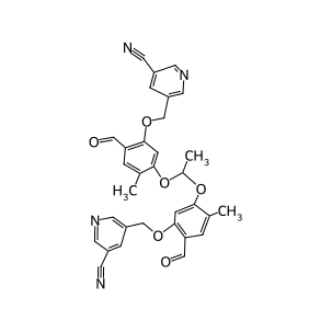 Cc1cc(C=O)c(OCc2cncc(C#N)c2)cc1OC(C)Oc1cc(OCc2cncc(C#N)c2)c(C=O)cc1C